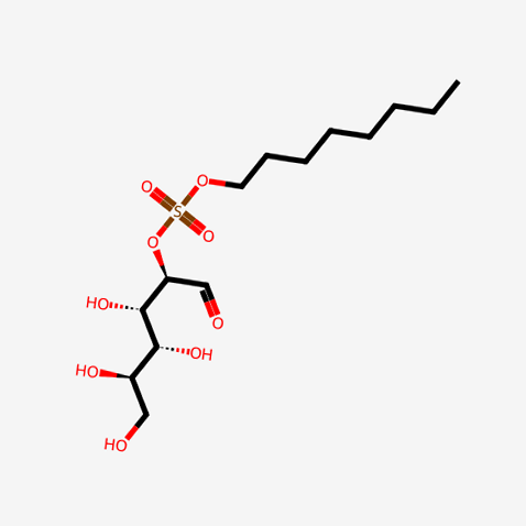 CCCCCCCCOS(=O)(=O)O[C@@H](C=O)[C@@H](O)[C@H](O)[C@H](O)CO